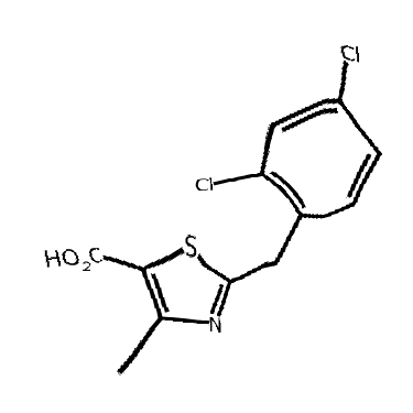 Cc1nc(Cc2ccc(Cl)cc2Cl)sc1C(=O)O